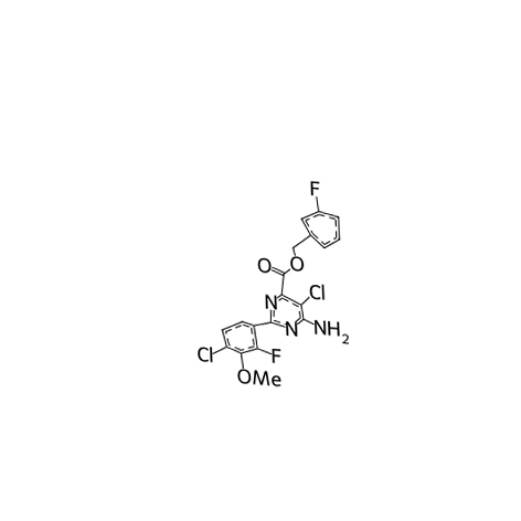 COc1c(Cl)ccc(-c2nc(N)c(Cl)c(C(=O)OCc3cccc(F)c3)n2)c1F